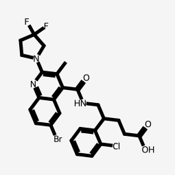 Cc1c(N2CCC(F)(F)C2)nc2ccc(Br)cc2c1C(=O)NCC(CCC(=O)O)c1ccccc1Cl